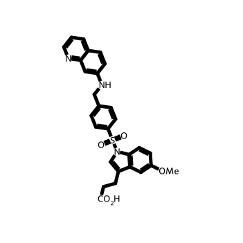 COc1ccc2c(c1)c(CCC(=O)O)cn2S(=O)(=O)c1ccc(CNc2ccc3cccnc3c2)cc1